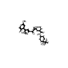 COc1cc(-c2cc(C(=O)C3CC34CC(C(=O)NC3CCC(O)(C(F)(F)F)CC3)CCN4)n[nH]2)c(F)cn1